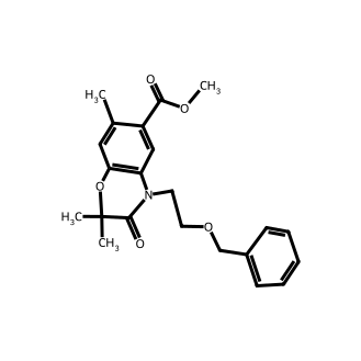 COC(=O)c1cc2c(cc1C)OC(C)(C)C(=O)N2CCOCc1ccccc1